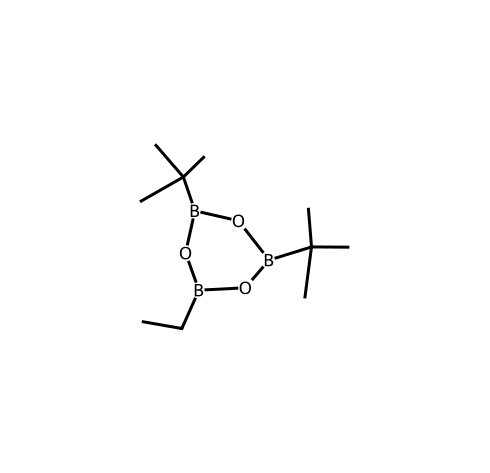 CCB1OB(C(C)(C)C)OB(C(C)(C)C)O1